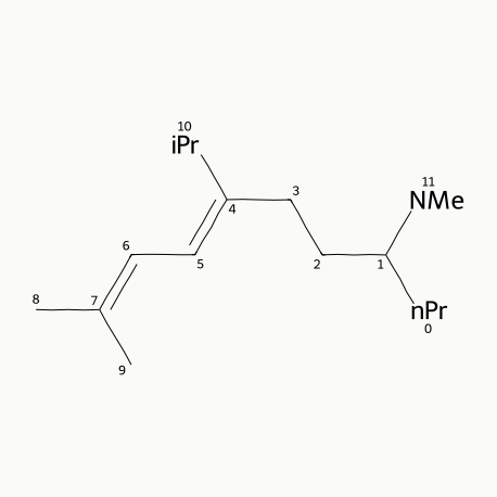 CCCC(CC/C(=C/C=C(C)C)C(C)C)NC